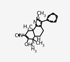 [C-]#[N+]C1=C(O)C(C)(C)[C@@H]2CCc3c(nn(C)c3-c3ccccc3)[C@@]2(C)C1